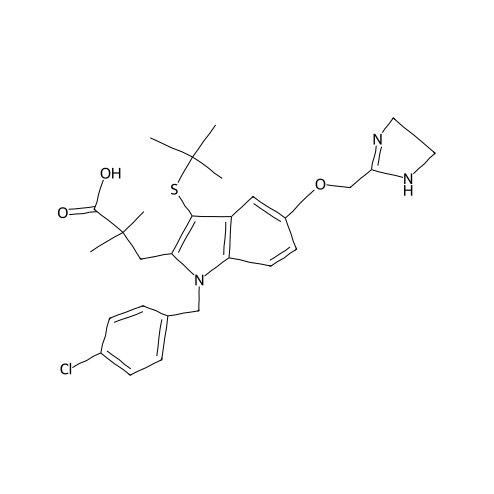 CC(C)(C)Sc1c(CC(C)(C)C(=O)O)n(Cc2ccc(Cl)cc2)c2ccc(OCC3=NCCN3)cc12